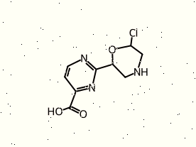 O=C(O)c1ccnc(C2CNCC(Cl)O2)n1